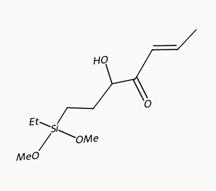 CC=CC(=O)C(O)CC[Si](CC)(OC)OC